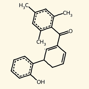 Cc1cc(C)c(C(=O)C2=[C]C(c3ccccc3O)CC=C2)c(C)c1